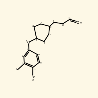 Cc1cc(OC2CCC(CCC=O)CC2)ccc1Br